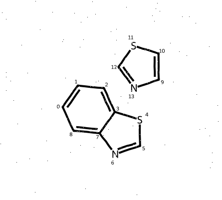 c1ccc2scnc2c1.c1cscn1